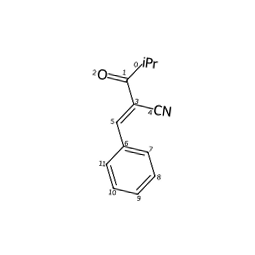 CC(C)C(=O)/C(C#N)=C/c1ccccc1